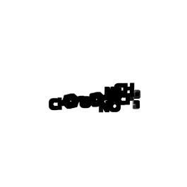 Cn1nc(-c2ccc(OCc3ccc(Cl)cc3)cc2N=O)cc1C(F)(F)F